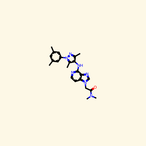 Cc1cc(C)cc(-n2nc(C)c(Nc3nccc4c3ncn4CC(=O)N(C)C)c2C)c1